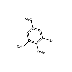 COc1cc(Br)c(OC)c(C=O)c1